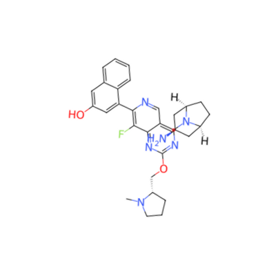 CN1CCC[C@H]1COc1nc(N2[C@@H]3CC[C@H]2C[C@@H](N)C3)c2cnc(-c3cc(O)cc4ccccc34)c(F)c2n1